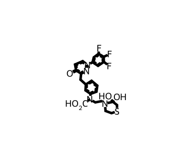 O=C(O)N(CCN1CCSCC1(O)O)c1cccc(Cc2nn(-c3cc(F)c(F)c(F)c3)ccc2=O)c1